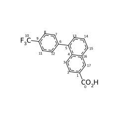 O=C(O)c1ccc2c(-c3ccc(C(F)(F)F)cc3)cccc2c1